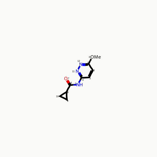 COc1ccc(NC(=O)C2CC2)nn1